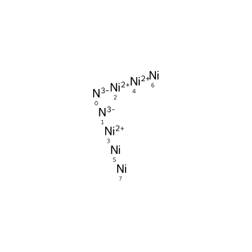 [N-3].[N-3].[Ni+2].[Ni+2].[Ni+2].[Ni].[Ni].[Ni]